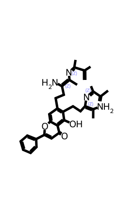 C=C(C)/C(C)=N\C(C)=C(/N)CCc1cc2oc(-c3ccccc3)cc(=O)c2c(O)c1CCC(/N=C(/C)C(=C)C)=C(\C)N